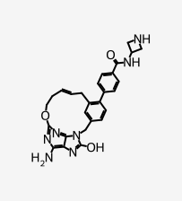 Nc1nc2nc3c1nc(O)n3Cc1ccc(-c3ccc(C(=O)NC4CNC4)cc3)c(c1)C/C=C/CCO2